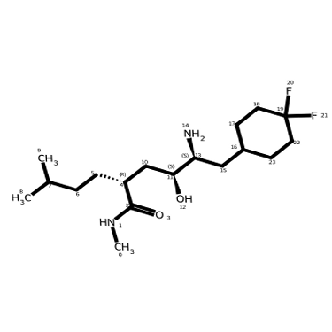 CNC(=O)[C@H](CCC(C)C)C[C@H](O)[C@@H](N)CC1CCC(F)(F)CC1